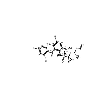 C=CC[C@H](O)CC1(S(=O)(=O)Nc2c(OC)cc(F)c(F)c2Nc2ccc(I)cc2F)CC1